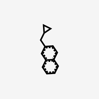 c1ccc2cc(CC3CC3)ccc2c1